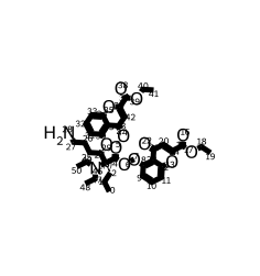 CCC[C@@](C(=O)OOc1cccc2oc(C(=O)OCC)cc(=O)c12)(C(CCCN)Oc1cccc2oc(C(=O)OCC)cc(=O)c12)N(CC)CC